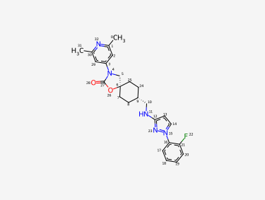 Cc1cc(N2C[C@]3(CC[C@@H](CNc4ccn(-c5ccccc5F)n4)CC3)OC2=O)cc(C)n1